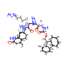 Cc1cc(=O)[nH]c2cc(NC(=O)[C@H](CCCCN)NC(=O)[C@H](C)NC(=O)OCC3c4ccccc4-c4ccccc43)ccc12